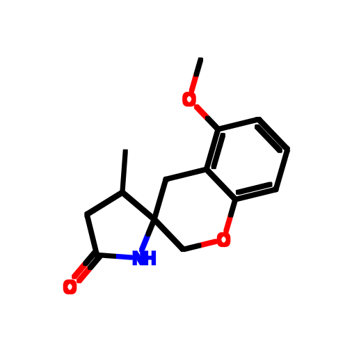 COc1cccc2c1CC1(CO2)NC(=O)CC1C